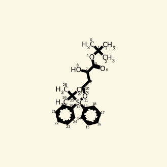 CC(C)(C)OC(=O)C(O)CCO[Si](c1ccccc1)(c1ccccc1)C(C)(C)C